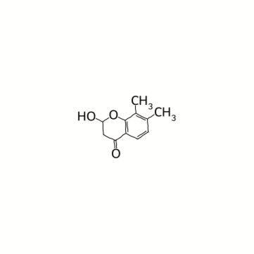 Cc1ccc2c(c1C)OC(O)CC2=O